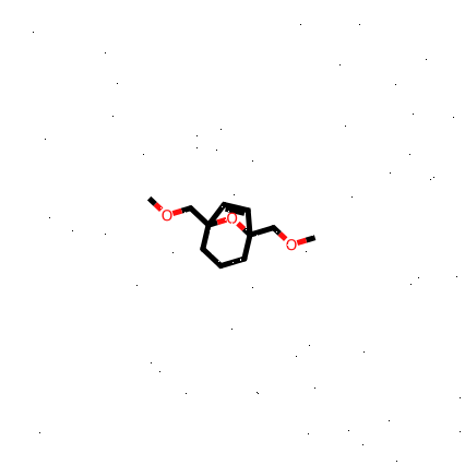 COCC12C=CC(COC)(CCC1)O2